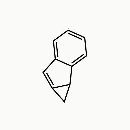 [c]1ccc2c(c1)C=C1CC12